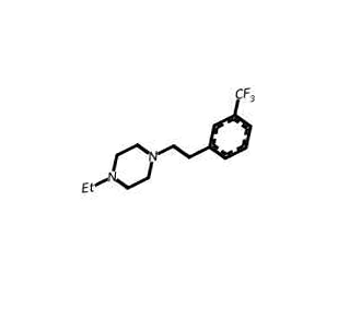 CCN1CCN(CCc2cccc(C(F)(F)F)c2)CC1